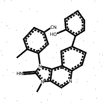 Cc1ccc(C#N)cc1-n1c(=N)n(C)c2cnc3ccc(-c4ccccc4O)cc3c21